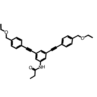 CCOCc1ccc(C#Cc2cc(C#Cc3ccc(COCC)cc3)cc(NC(=O)CC)c2)cc1